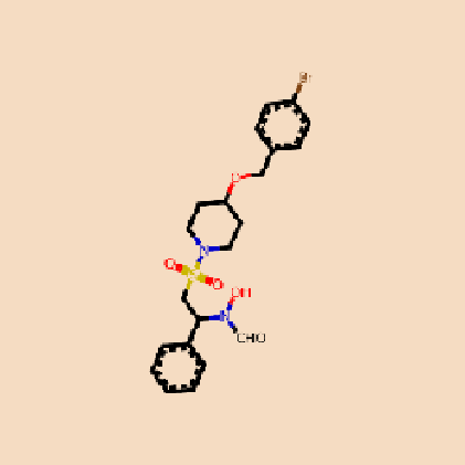 O=CN(O)C(CS(=O)(=O)N1CCC(OCc2ccc(Br)cc2)CC1)c1ccccc1